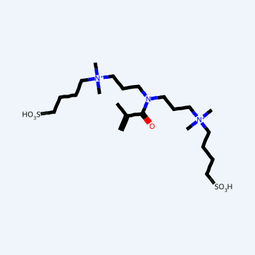 C=C(C)C(=O)N(CCC[N+](C)(C)CCCCS(=O)(=O)O)CCC[N+](C)(C)CCCCS(=O)(=O)O